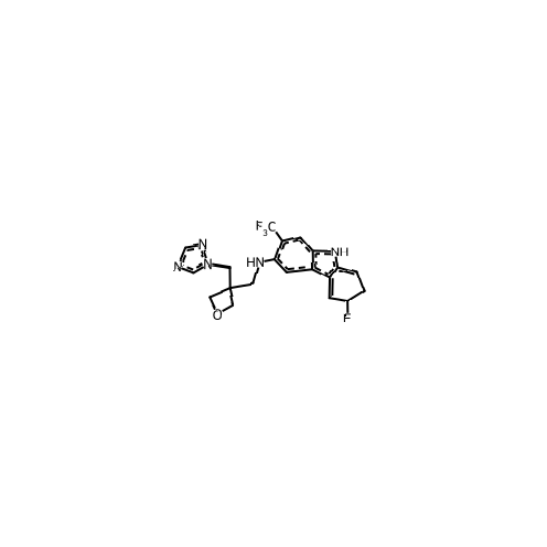 FC1C=c2c([nH]c3cc(C(F)(F)F)c(NCC4(Cn5cncn5)COC4)cc23)=CC1